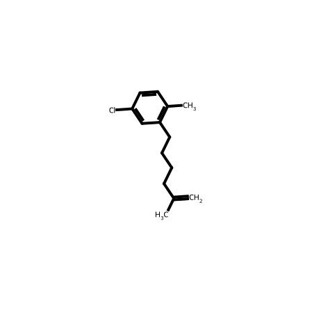 C=C(C)CCCCc1cc(Cl)ccc1C